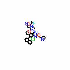 C=C(F)C(=O)N1CCN(c2nc(OCC3CCCN3C)nc3cc(-c4cccc5cccc(Cl)c45)c4c(c23)OCCC4)CC1CC#N